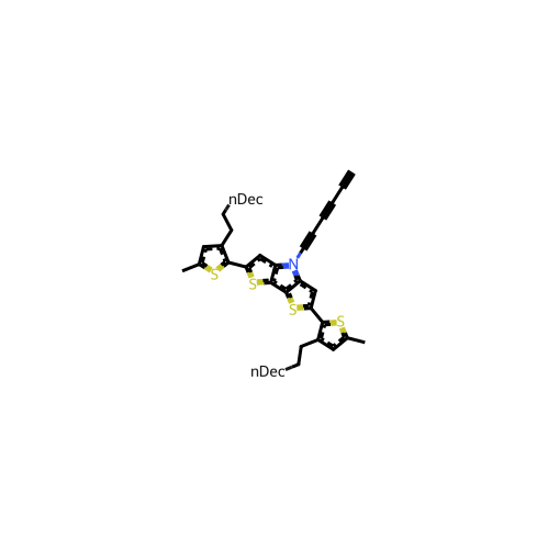 C#CC#CC#Cn1c2cc(-c3sc(C)cc3CCCCCCCCCCCC)sc2c2sc(-c3sc(C)cc3CCCCCCCCCCCC)cc21